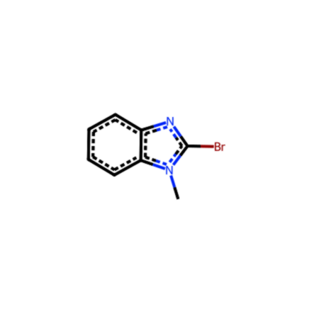 Cn1c(Br)nc2ccccc21